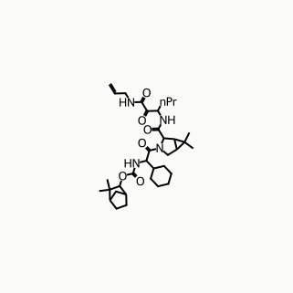 C=CCNC(=O)C(=O)C(CCC)NC(=O)C1C2C(CN1C(=O)C(NC(=O)OC1C3CCC(C3)C1(C)C)C1CCCCC1)C2(C)C